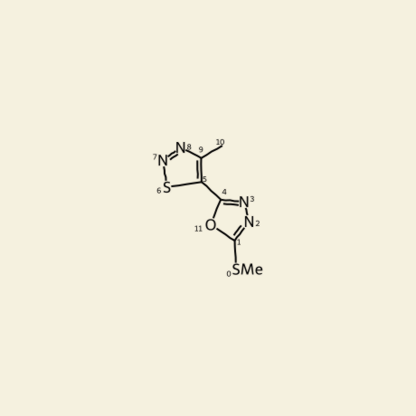 CSc1nnc(-c2snnc2C)o1